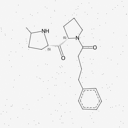 CC1CC[C@@H](C(=O)[C@@H]2CCCN2C(=O)CCCc2ccccc2)N1